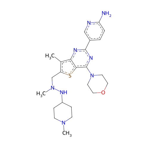 Cc1c(CN(C)NC2CCN(C)CC2)sc2c(N3CCOCC3)nc(-c3ccc(N)nc3)nc12